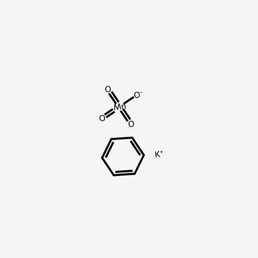 [K+].[O]=[Mn](=[O])(=[O])[O-].c1ccccc1